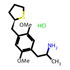 COc1cc(C[C@H]2CCCS2)c(OC)cc1CC(C)N.Cl